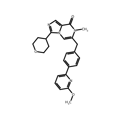 COc1cccc(-c2ccc(Cc3cn4c(C5CCOCC5)ncc4c(=O)n3C)cc2)n1